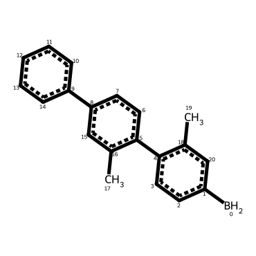 Bc1ccc(-c2ccc(-c3ccccc3)cc2C)c(C)c1